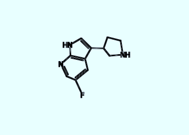 Fc1cnc2[nH]cc(C3CCNC3)c2c1